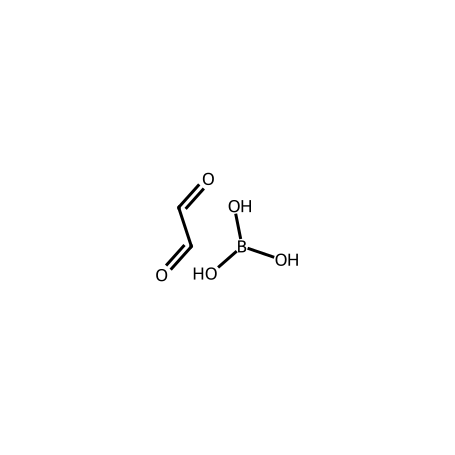 O=CC=O.OB(O)O